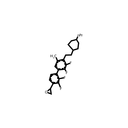 CCCC1CCC(CCc2c(C)cc(-c3ccc(C4CO4)c(F)c3F)c(F)c2F)CC1